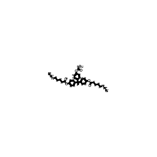 CCCCC(=O)Oc1ccc(C(C)(c2ccc(OC(=O)CCCCN=[N+]=[N-])cc2)c2ccc(OC(=O)CCCCN=[N+]=[N-])cc2)cc1